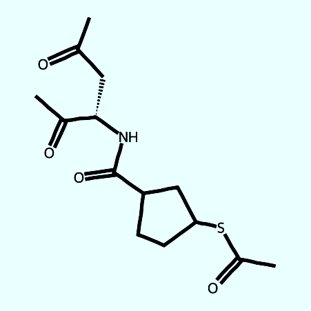 CC(=O)C[C@H](NC(=O)C1CCC(SC(C)=O)C1)C(C)=O